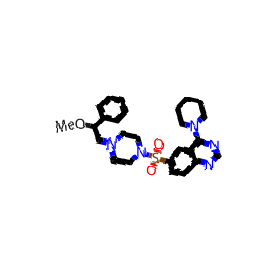 COC(CN1CCN(S(=O)(=O)c2ccc3ncnc(N4CCCCC4)c3c2)CC1)c1ccccc1